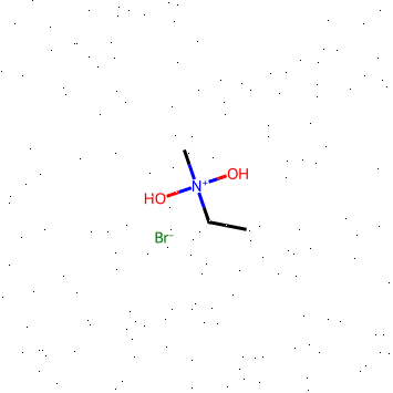 CC[N+](C)(O)O.[Br-]